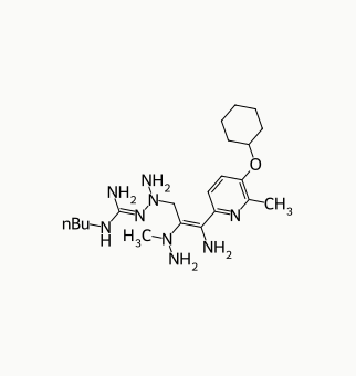 CCCCN/C(N)=N/N(N)C/C(=C(/N)c1ccc(OC2CCCCC2)c(C)n1)N(C)N